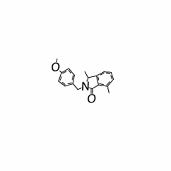 COc1ccc(CN2C(=O)c3c(C)cccc3C2C)cc1